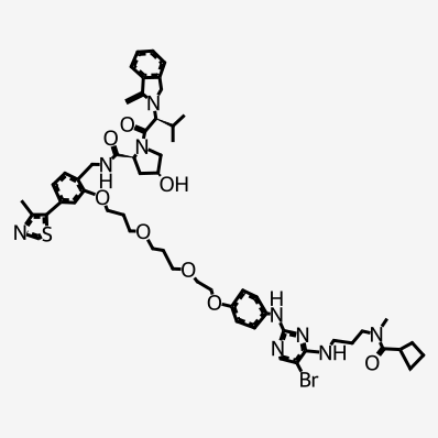 C=C1c2ccccc2CN1[C@H](C(=O)N1C[C@H](O)C[C@H]1C(=O)NCc1ccc(-c2scnc2C)cc1OCCCOCCCOCCOc1ccc(Nc2ncc(Br)c(NCCCN(C)C(=O)C3CCC3)n2)cc1)C(C)C